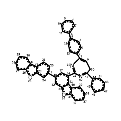 C1=C(c2ccc(-c3ccccc3)cc2)N=C(c2cc(-c3ccc4c(c3)oc3ccccc34)cc3oc4ccccc4c23)N=C(c2ccccc2)C1